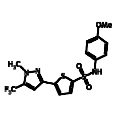 COc1ccc(NS(=O)(=O)c2ccc(-c3cc(C(F)(F)F)n(C)n3)s2)cc1